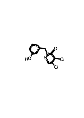 O=c1c(Cl)c(Cl)cnn1Cc1cccc(O)c1